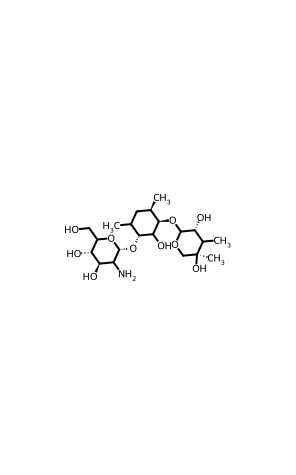 CC1C[C@@H](C)[C@@H](OC2OC[C@](C)(O)C(C)[C@H]2O)C(O)[C@@H]1O[C@H]1OC(CO)[C@@H](O)[C@H](O)C1N